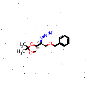 CC1(C)OC[C@@H]([C@H](COCc2ccccc2)N=[N+]=[N-])O1